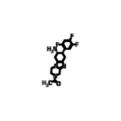 CC(=O)N1CCn2c(nc3c2C[C@H](N)[C@@H](c2cc(F)c(F)cc2F)C3)C1